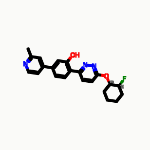 Cc1cc(-c2ccc(-c3ccc(O[C@@H]4CCCC[C@@H]4F)nn3)c(O)c2)ccn1